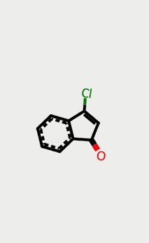 O=C1C=C(Cl)c2ccccc21